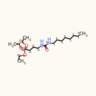 CCCCCCCCNC(=O)NCCC[Si](OCC)(OCC)OCC